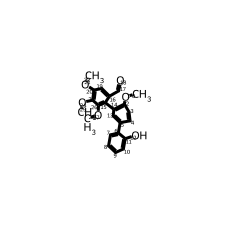 COc1ccc(-c2ccccc2O)cc1-c1c(C=O)cc(OC)c(OC)c1OC